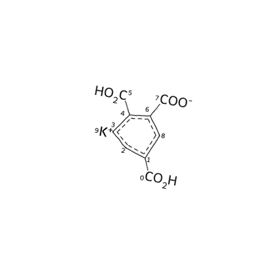 O=C(O)c1ccc(C(=O)O)c(C(=O)[O-])c1.[K+]